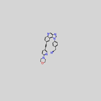 N#CCc1ccc(-n2cnc3cnc4ccc(C#Cc5ccc(N6CCOCC6)nc5)cc4c32)cc1